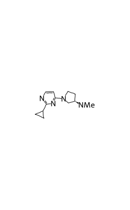 CN[C@@H]1CCN(c2ccnc(C3CC3)n2)C1